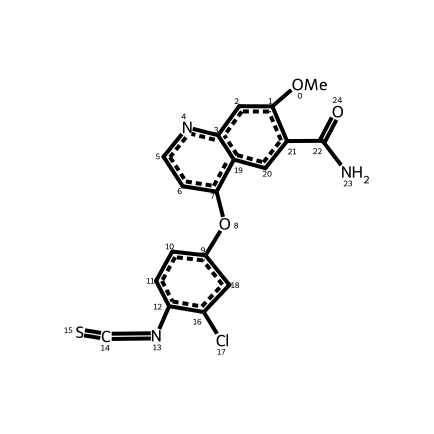 COc1cc2nccc(Oc3ccc(N=C=S)c(Cl)c3)c2cc1C(N)=O